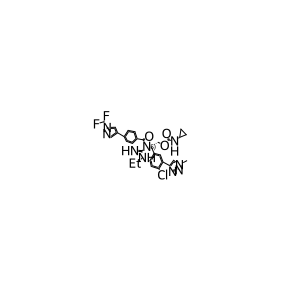 CCNC(=N)N(C(=O)c1ccc(-c2cnn(C(F)F)c2)cc1)[C@H](COC(=O)NC1CC1)c1ccc(Cl)c(-c2cn(C)nn2)c1